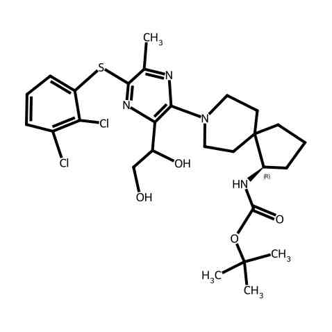 Cc1nc(N2CCC3(CCC[C@H]3NC(=O)OC(C)(C)C)CC2)c(C(O)CO)nc1Sc1cccc(Cl)c1Cl